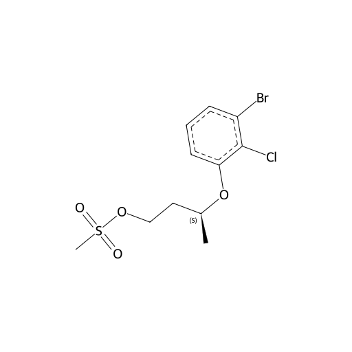 C[C@@H](CCOS(C)(=O)=O)Oc1cccc(Br)c1Cl